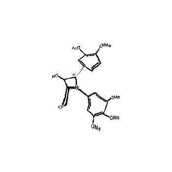 COc1ccc([C@H]2C(O)C(=O)N2c2cc(OC)c(OC)c(OC)c2)cc1OC(C)=O